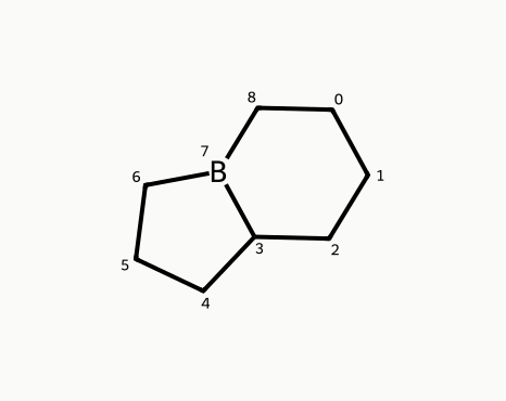 C1CCC2CCCB2C1